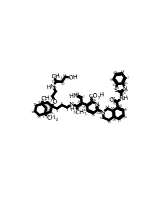 C/C(NCCCC1(OCCNC(C)CCO)CC2(C)CCCC(C)(C2)C1)=C(/C=N)c1ccc(N2CCc3cccc(C(=O)Nc4nc5ccccc5s4)c3C2)nc1C(=O)O